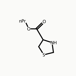 CCCOC(=O)C1CSCN1